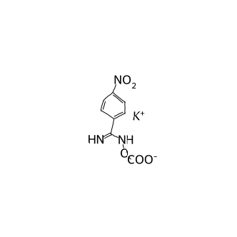 N=C(NOC(=O)[O-])c1ccc([N+](=O)[O-])cc1.[K+]